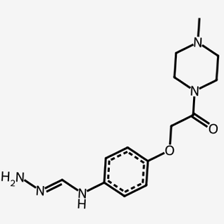 CN1CCN(C(=O)COc2ccc(NC=NN)cc2)CC1